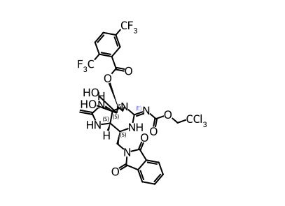 C=C1N[C@H]2[C@H](CN3C(=O)c4ccccc4C3=O)N/C(=N\C(=O)OCC(Cl)(Cl)Cl)N3C[C@H](OC(=O)c4cc(C(F)(F)F)ccc4C(F)(F)F)C(O)(O)[C@]23N1